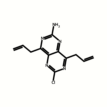 C=CCc1nc(Cl)nc2c(CC=C)nc(N)nc12